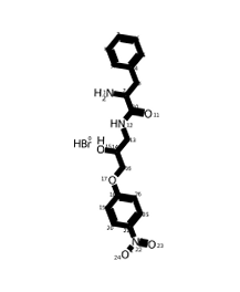 Br.NC(Cc1ccccc1)C(=O)NCC(O)COc1ccc([N+](=O)[O-])cc1